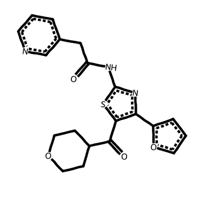 O=C(Cc1cccnc1)Nc1nc(-c2ccco2)c(C(=O)C2CCOCC2)s1